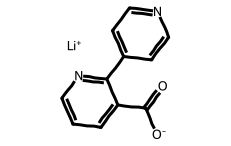 O=C([O-])c1cccnc1-c1ccncc1.[Li+]